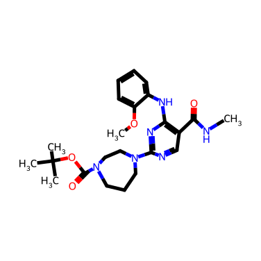 CNC(=O)c1cnc(N2CCCN(C(=O)OC(C)(C)C)CC2)nc1Nc1ccccc1OC